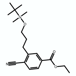 CCOC(=O)c1ccc(C#N)c(CCCO[Si](C)(C)C(C)(C)C)c1